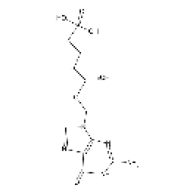 Nc1nc2c(ncn2CO[C@@H](O)[CH]CCP(=O)(O)O)c(=O)[nH]1